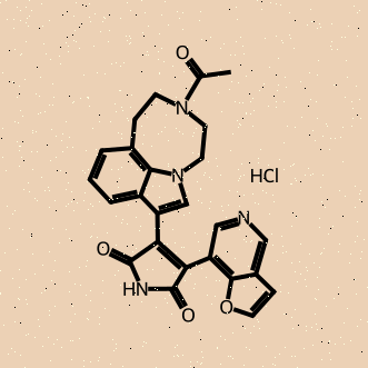 CC(=O)N1CCc2cccc3c(C4=C(c5cncc6ccoc56)C(=O)NC4=O)cn(c23)CC1.Cl